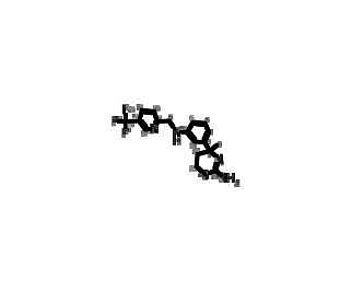 CC1(c2cccc(NCc3ccc(C(F)(F)F)cn3)c2)CCSC(N)=N1